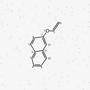 [CH]=COc1ccc2ccccc2c1